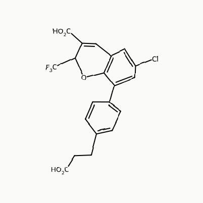 O=C(O)CCc1ccc(-c2cc(Cl)cc3c2OC(C(F)(F)F)C(C(=O)O)=C3)cc1